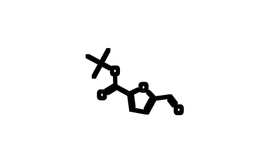 CC(C)(C)OC(=O)c1ccc(C=O)o1